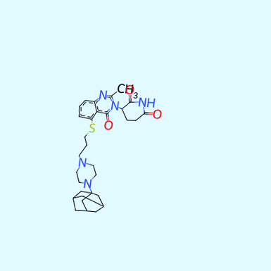 Cc1nc2cccc(SCCCN3CCN(C45CC6CC(CC(C6)C4)C5)CC3)c2c(=O)n1C1CCC(=O)NC1=O